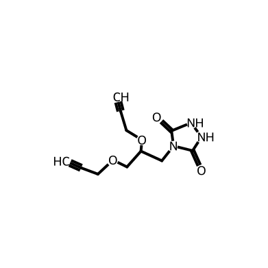 C#CCOCC(Cn1c(=O)[nH][nH]c1=O)OCC#C